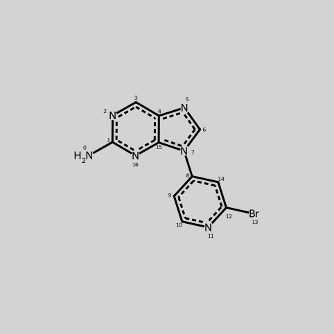 Nc1ncc2ncn(-c3ccnc(Br)c3)c2n1